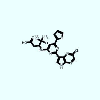 CC(C)(C)C(CC(=O)O)Nc1cc(-c2ccco2)nc(-c2c[nH]c3ncc(Cl)nc23)n1